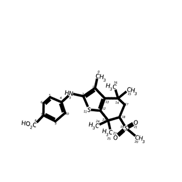 Cc1c(Nc2ccc(C(=O)O)cc2)sc2c1C(C)(C)CC(S(C)(=O)=O)C2(C)C